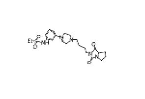 CCS(=O)(=O)Nc1cccc(N2CCN(CCCCN3C(=O)C4CCCN4C3=O)CC2)c1